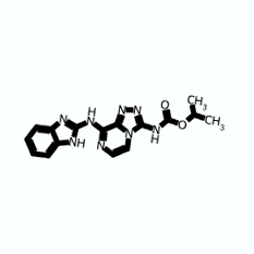 CC(C)OC(=O)Nc1nnc2c(Nc3nc4ccccc4[nH]3)nccn12